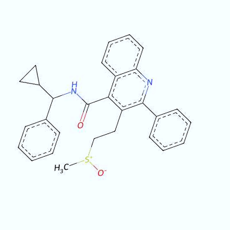 C[S+]([O-])CCc1c(-c2ccccc2)nc2ccccc2c1C(=O)NC(c1ccccc1)C1CC1